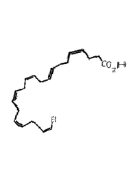 CC/C=C\C/C=C\C/C=C\C/C=C\C/C=C/C/C=C\CCC(=O)O